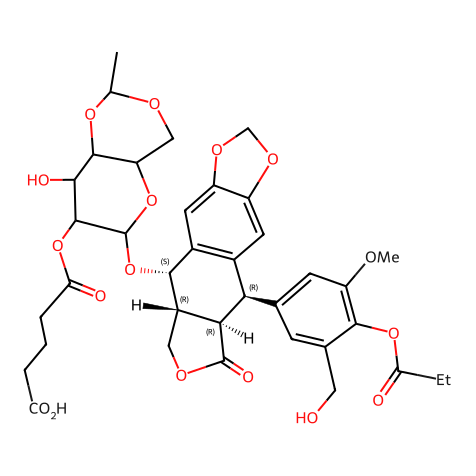 CCC(=O)Oc1c(CO)cc([C@@H]2c3cc4c(cc3[C@@H](OC3OC5COC(C)OC5C(O)C3OC(=O)CCCC(=O)O)[C@H]3COC(=O)[C@H]23)OCO4)cc1OC